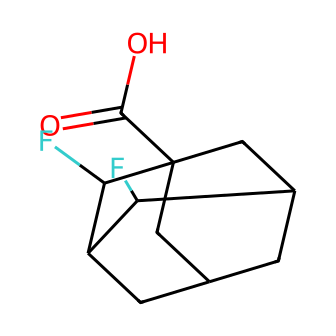 O=C(O)C12CC3CC(C1)C(F)C(C3)C2F